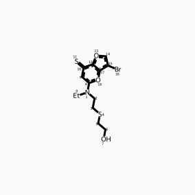 CCN(CCSCCO)c1cc(=S)c2occ(Br)c2o1